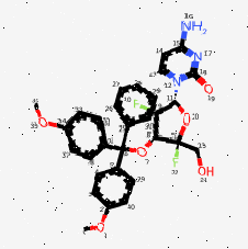 COc1ccc(C(O[C@H]2[C@@H](F)[C@H](n3ccc(N)nc3=O)O[C@]2(F)CO)(c2ccccc2)c2ccc(OC)cc2)cc1